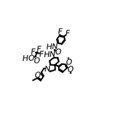 COc1ccc(C23CCC(NC(=O)Nc4ccc(F)c(F)c4)CC2N(Cc2ccc(C)o2)CC3)cc1OC.O=C(O)C(F)(F)F